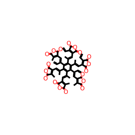 C=CC1=C(/C=C(\C)c2c(/C(C)=C/C3=C(C=C)C(=O)OC3=O)c(/C(C=C)=C/C3=C(C)C(=O)OC3=O)c(/C(C)=C/C3=C(C)C(=O)OC3=O)c(/C(C)=C/C3=C(C)C(=O)OC3=O)c2/C(C=C)=C/C2=C(C)C(=O)OC2=O)C(=O)OC1=O